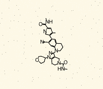 CNC(=O)c1cc(C)c(-c2cc3c(cc2C#N)N(c2nn(C4CCOCC4)c4c2CN(C(=O)NC)CC4)CCC3)cn1